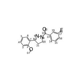 COc1ccccc1C1=NN(C(=O)c2cccc(F)c2)CC1